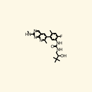 CNc1ncc2cc(-c3cc(NC(=O)NCC(O)C(C)(C)C)c(F)cc3C)c(C)nc2n1